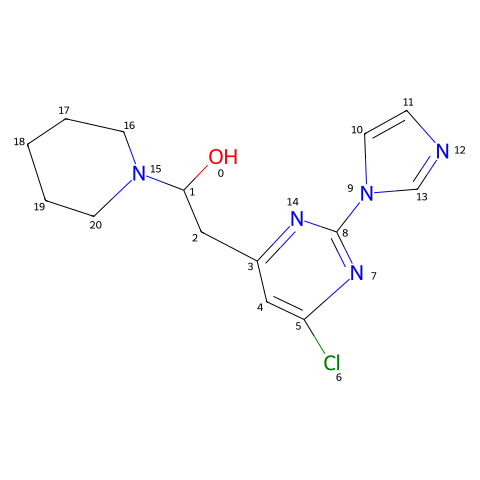 OC(Cc1cc(Cl)nc(-n2ccnc2)n1)N1CCCCC1